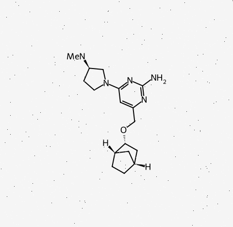 CN[C@@H]1CCN(c2cc(CO[C@@H]3C[C@@H]4CC[C@H]3C4)nc(N)n2)C1